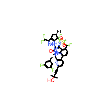 CC[C@@H]1Cc2c(C(F)F)nn(CC(=O)N[C@@H](Cc3cc(F)cc(F)c3)c3nc(C#CC(C)(C)O)ccc3-c3ccc(C(F)F)c4c(NS(C)(=O)=O)nn(C)c34)c2C1(F)F